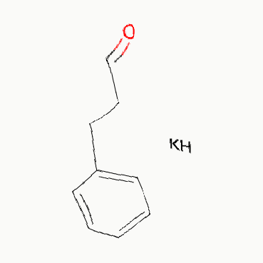 O=CCCc1ccccc1.[KH]